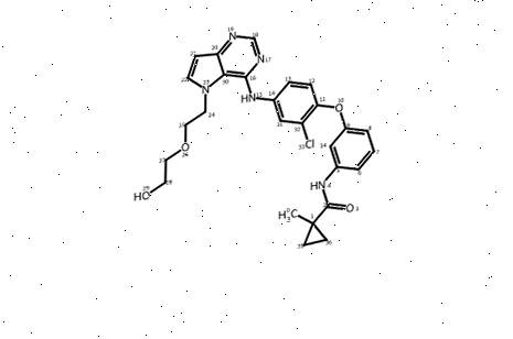 CC1(C(=O)Nc2cccc(Oc3ccc(Nc4ncnc5ccn(CCOCCO)c45)cc3Cl)c2)CC1